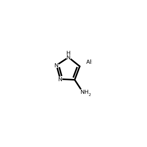 Nc1c[nH]nn1.[Al]